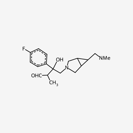 CNCC1C2CN(CC(O)(c3ccc(F)cc3)C(C)C=O)CC12